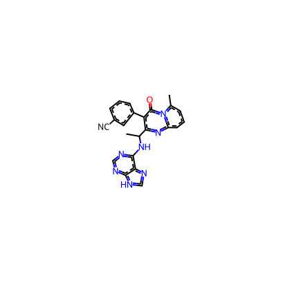 Cc1cccc2nc(C(C)Nc3ncnc4[nH]cnc34)c(-c3cccc(C#N)c3)c(=O)n12